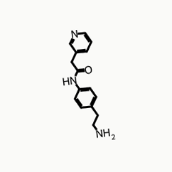 NCCc1ccc(NC(=O)Cc2cccnc2)cc1